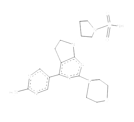 Nc1ncc(-c2nc(N3CCOCC3)nc3c2CCN3[C@@H]2CCN(S(N)(=O)=O)C2)cn1